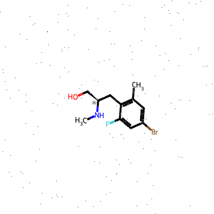 CN[C@@H](CO)Cc1c(C)cc(Br)cc1F